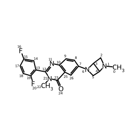 CN1CC2C1CN2c1ccc2nc(-c3cc(F)ccc3F)n(C)c(=O)c2c1